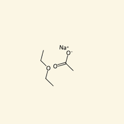 CC(=O)[O-].CCOCC.[Na+]